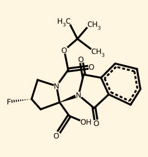 CC(C)(C)OC(=O)N1C[C@@H](F)C[C@]1(C(=O)O)N1C(=O)c2ccccc2C1=O